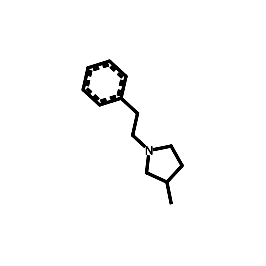 CC1CCN(CCc2ccccc2)C1